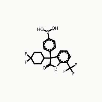 O=C1Nc2c(C(F)(F)F)cccc2C1(c1ccc(B(O)O)cc1)C1CCC(F)(F)CC1